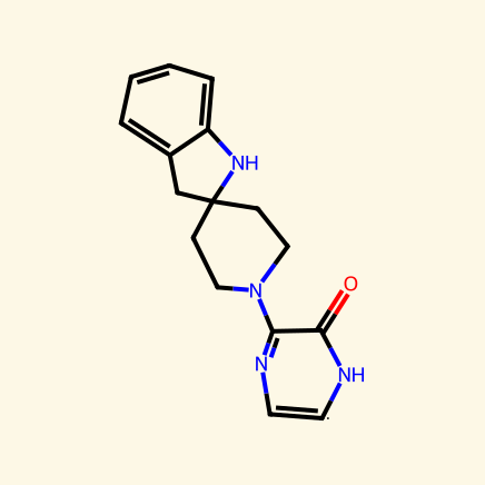 O=c1[nH][c]cnc1N1CCC2(CC1)Cc1ccccc1N2